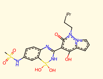 CC(C)CCn1c(=O)c(C2=Nc3ccc(NS(C)(=O)=O)cc3S(O)(O)N2)c(O)c2cccn21